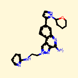 Nc1nc2cc(-c3ccnn3C3CCCCO3)ccc2c2cn(CCNc3ccccn3)nc12